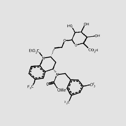 CCOC(=O)N1c2ccc(C(F)(F)F)cc2[C@@H](N(Cc2cc(C(F)(F)F)cc(C(F)(F)F)c2)C(=O)OC)C[C@H]1CCOC1OC(C(=O)O)C(O)C(O)C1O